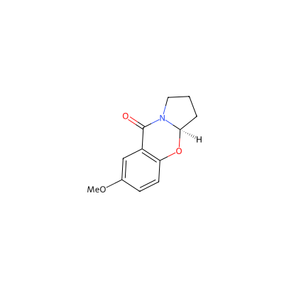 COc1ccc2c(c1)C(=O)N1CCC[C@H]1O2